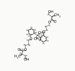 C=C(CO)C(=O)OCCCOc1ccccc1C(C)(C)c1ccccc1OCCCOC(=O)C(=C)CO